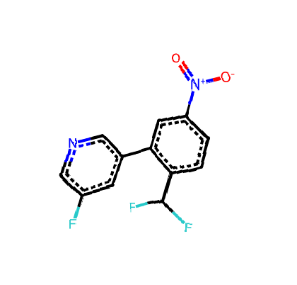 O=[N+]([O-])c1ccc(C(F)F)c(-c2cncc(F)c2)c1